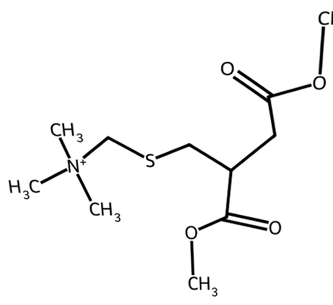 COC(=O)CC(CSC[N+](C)(C)C)C(=O)OC